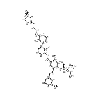 Cc1c(COc2cc(OCc3cncc(C#N)c3)c(CN[C@@](C)(CO)C(=O)O)c(C)c2Cl)cccc1-c1cccc(OCCCN2CC[C@@H](O)C2)c1C